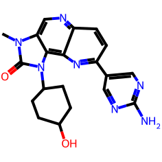 Cn1c(=O)n(C2CCC(O)CC2)c2c3nc(-c4cnc(N)nc4)ccc3ncc21